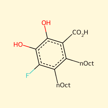 CCCCCCCCc1c(F)c(O)c(O)c(C(=O)O)c1CCCCCCCC